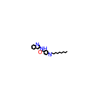 CCCCCCCCCN(C)c1ccc(C(=O)Nc2cnc3ccccc3c2)cc1